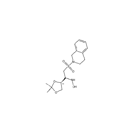 CC1(C)OC[C@H](C(CS(=O)(=O)N2CCc3ccccc3C2)NO)O1